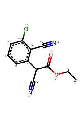 CCOC(=O)C(C#N)c1cccc(Cl)c1C#N